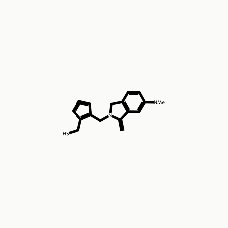 C=C1c2cc(NC)ccc2CN1CC1=C(CS)C=C=C1